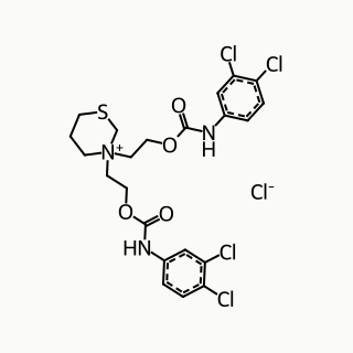 O=C(Nc1ccc(Cl)c(Cl)c1)OCC[N+]1(CCOC(=O)Nc2ccc(Cl)c(Cl)c2)CCCSC1.[Cl-]